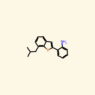 CC(C)Cc1cccc2cc(-c3ccccc3N)sc12